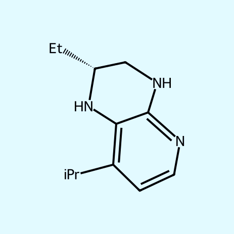 CC[C@@H]1CNc2nccc(C(C)C)c2N1